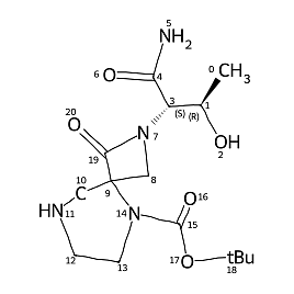 C[C@@H](O)[C@@H](C(N)=O)N1CC2(CNCCN2C(=O)OC(C)(C)C)C1=O